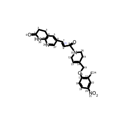 O=C1CCc2cc(/C=C/C(=O)N3CC=C(COc4ccc([N+](=O)[O-])cc4F)CC3)cnc2N1